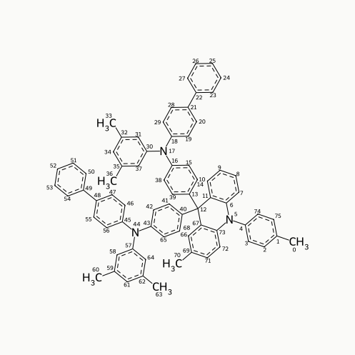 Cc1ccc(N2c3ccccc3C(c3ccc(N(c4ccc(-c5ccccc5)cc4)c4cc(C)cc(C)c4)cc3)(c3ccc(N(c4ccc(-c5ccccc5)cc4)c4cc(C)cc(C)c4)cc3)c3cc(C)ccc32)cc1